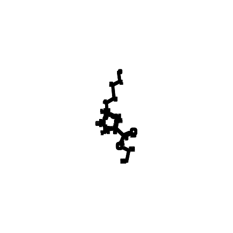 CCCCCn1nnc(C(=O)OCC)n1